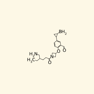 BC1CC1c1ccc(OC2CN(C(=O)CCC(CC)CN)C2)c(C=O)c1